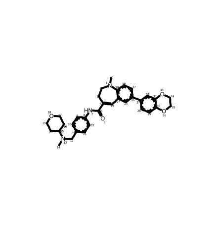 CN1CCC(C(=O)Nc2ccc(CN(C)C3CCOCC3)cc2)=Cc2cc(-c3ccc4c(c3)OCCO4)ccc21